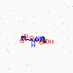 CB(O)[C@@H]1CCCN1C(=O)[C@@H]1C[C@@H](NC(=O)CCCN2C(=O)C=CC2=O)CN1